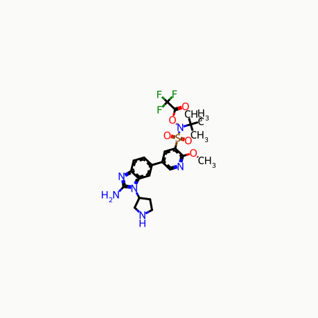 COc1ncc(-c2ccc3nc(N)n(C4CCNC4)c3c2)cc1S(=O)(=O)N(OC(=O)C(F)(F)F)C(C)(C)C